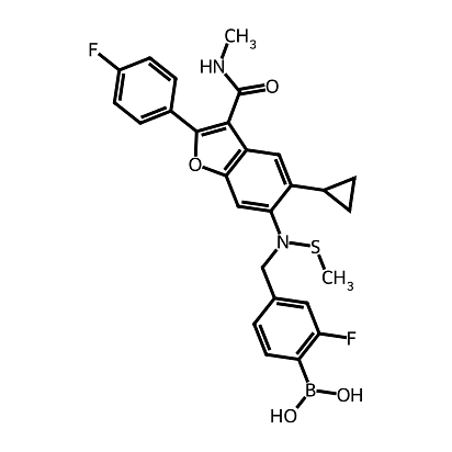 CNC(=O)c1c(-c2ccc(F)cc2)oc2cc(N(Cc3ccc(B(O)O)c(F)c3)SC)c(C3CC3)cc12